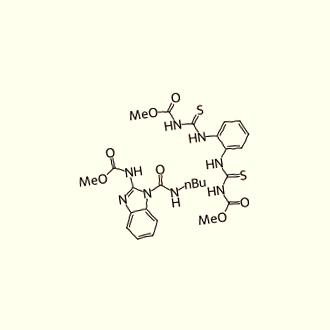 CCCCNC(=O)n1c(NC(=O)OC)nc2ccccc21.COC(=O)NC(=S)Nc1ccccc1NC(=S)NC(=O)OC